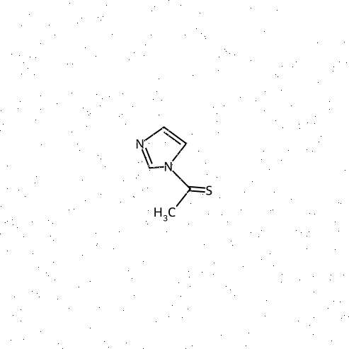 CC(=S)n1ccnc1